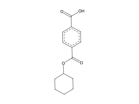 O=C(O)c1ccc(C(=O)OC2CCCCC2)cc1